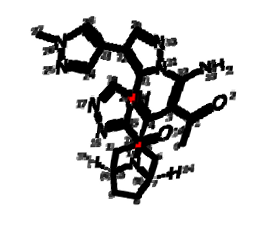 CC(=O)c1c([C@H]2C[C@H]3CC[C@@H](C2)N3C(=O)c2nnc[nH]2)nc2c(-c3cnn(C)c3)cnn2c1N